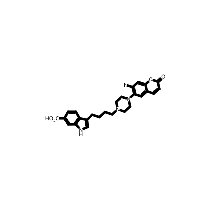 O=C(O)c1ccc2c(CCCCN3CCN(c4cc5ccc(=O)oc5cc4F)CC3)c[nH]c2c1